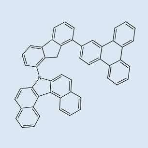 c1cc(-c2ccc3c4ccccc4c4ccccc4c3c2)c2c(c1)-c1cccc(-n3c4ccc5ccccc5c4c4c5ccccc5ccc43)c1C2